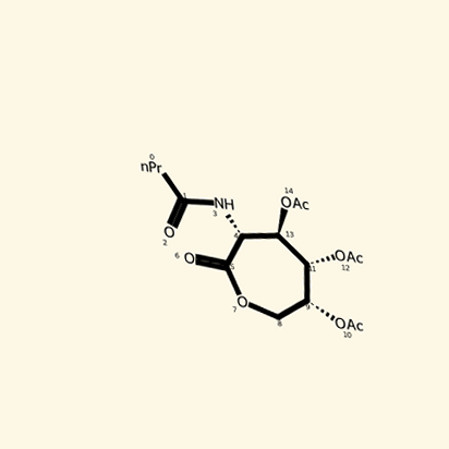 CCCC(=O)N[C@H]1C(=O)OC[C@@H](OC(C)=O)[C@@H](OC(C)=O)[C@@H]1OC(C)=O